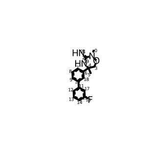 CN1OCC(C)(c2cccc(-c3cccc(F)c3)c2)NC1=N